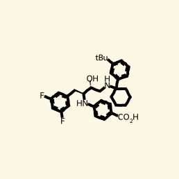 CC(C)(C)c1cccc(C2(NC[C@@H](O)[C@H](Cc3cc(F)cc(F)c3)Nc3ccc(C(=O)O)cc3)CCCCC2)c1